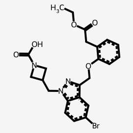 CCOC(=O)Cc1ccccc1OCc1nn(CC2CN(C(=O)O)C2)c2ccc(Br)cc12